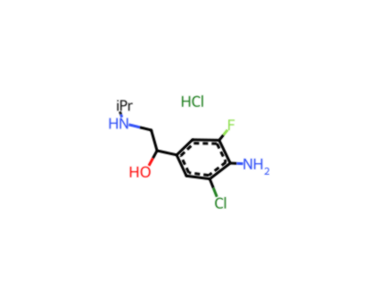 CC(C)NCC(O)c1cc(F)c(N)c(Cl)c1.Cl